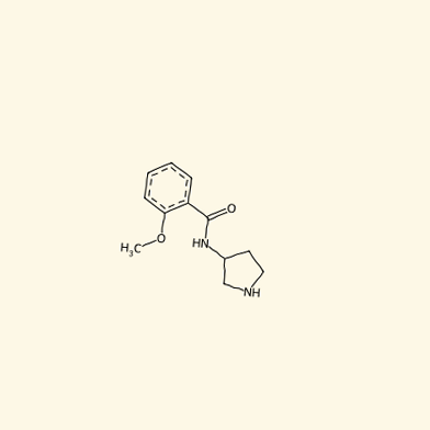 COc1ccccc1C(=O)NC1CCNC1